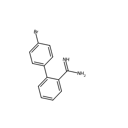 N=C(N)c1ccccc1-c1ccc(Br)cc1